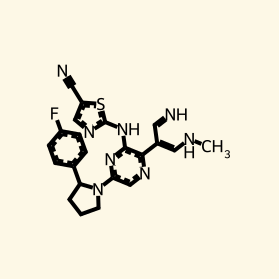 CN/C=C(\C=N)c1ncc(N2CCCC2c2ccc(F)cc2)nc1Nc1ncc(C#N)s1